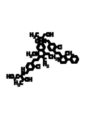 C=NC(/C=C/c1ccc(CNC(C(=O)O)[C@H](C)O)cc1Cl)=C(C)\C(=C/C)c1ccc(O[C@H](C)[C@@H](CO)NCc2ccc(/C=C/c3nccc(-c4ccccc4)c3C)c(Cl)c2)cc1